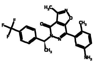 Cc1ccc(N)cc1-c1nn([C@H](C)c2ccc(C(F)(F)F)cc2)c(=O)c2c(C)noc12